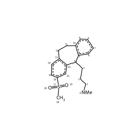 CNCCCC1c2ccccc2CCc2ccc(S(C)(=O)=O)cc21